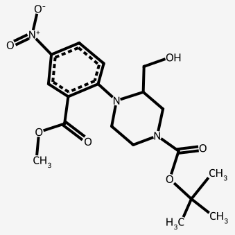 COC(=O)c1cc([N+](=O)[O-])ccc1N1CCN(C(=O)OC(C)(C)C)CC1CO